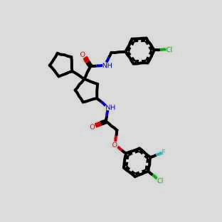 O=C(COc1ccc(Cl)c(F)c1)NC1CCC(C(=O)NCc2ccc(Cl)cc2)(C2CCCC2)C1